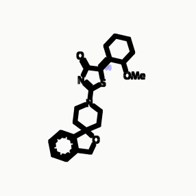 COC1CCCC/C1=C1/SC(N2CCC3(CC2)OCc2ccccc23)=NC1=O